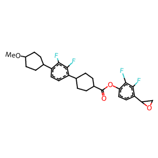 COC1CCC(c2ccc(C3CCC(C(=O)Oc4ccc(C5CO5)c(F)c4F)CC3)c(F)c2F)CC1